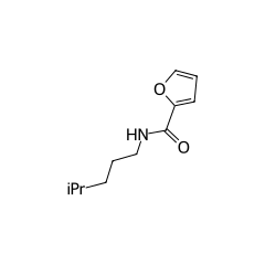 CC(C)CCCNC(=O)c1ccco1